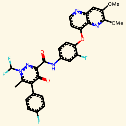 COc1cc2nccc(Oc3ccc(NC(=O)c4nn(C(F)F)c(C)c(-c5ccc(F)cc5)c4=O)cc3F)c2nc1OC